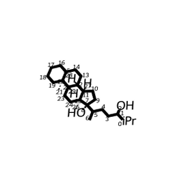 CC(C)C(O)CCC(C)[C@@]1(O)CC[C@H]2[C@@H]3CCC4CCCC[C@]4(C)[C@H]3CC[C@@]21C